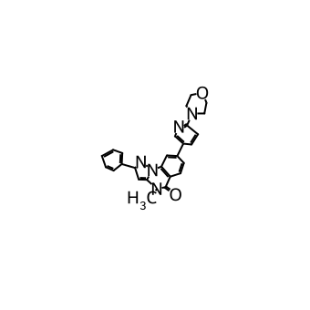 Cn1c(=O)c2ccc(-c3ccc(N4CCOCC4)nc3)cc2n2nc(-c3ccccc3)cc12